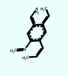 C=Nc1cc(=C/N)/c(=C\C)cc1/C=C\C